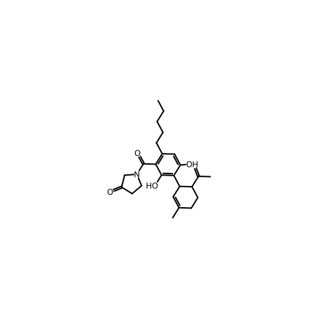 C=C(C)C1CCC(C)=CC1c1c(O)cc(CCCCC)c(C(=O)N2CCC(=O)C2)c1O